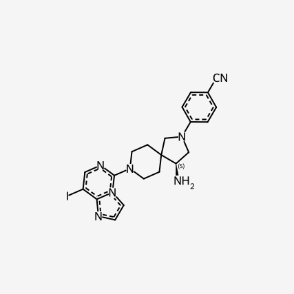 N#Cc1ccc(N2C[C@@H](N)C3(CCN(c4ncc(I)c5nccn45)CC3)C2)cc1